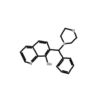 Oc1c(C(c2ccccc2)N2CCOCC2)ccc2cccnc12